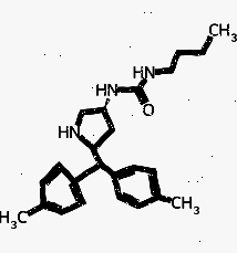 CCCCNC(=O)N[C@H]1CNC(C(c2ccc(C)cc2)c2ccc(C)cc2)C1